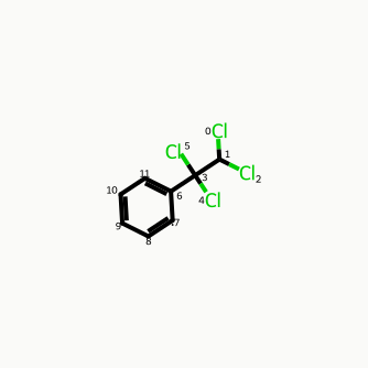 ClC(Cl)C(Cl)(Cl)c1[c]cccc1